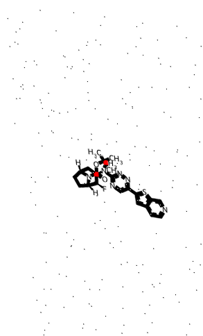 CN(c1ncc(-c2cc3ccncc3s2)nn1)[C@@H]1C[C@H]2CC[C@@H]([C@@H]1F)N2C(=O)OC(C)(C)C